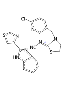 N#C/N=C1\SCCN1Cc1ccc(Cl)nc1.c1ccc2[nH]c(-c3cscn3)nc2c1